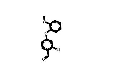 COc1ccccc1Sc1ccc(C=O)c(Cl)c1